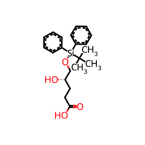 CC(C)(C)[Si](OC[C@@H](O)CCC(=O)O)(c1ccccc1)c1ccccc1